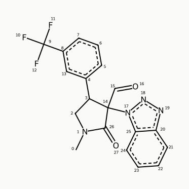 CN1CC(c2cccc(C(F)(F)F)c2)C(C=O)(n2nnc3ccccc32)C1=O